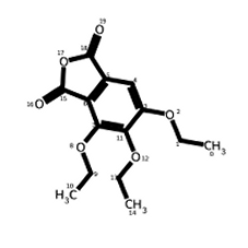 CCOc1cc2c(c(OCC)c1OCC)C(=O)OC2=O